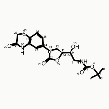 CC(C)(C)OC(=O)NC[C@H](O)[C@@H]1CN(c2ccc3c(c2)NC(=O)CS3)C(=O)O1